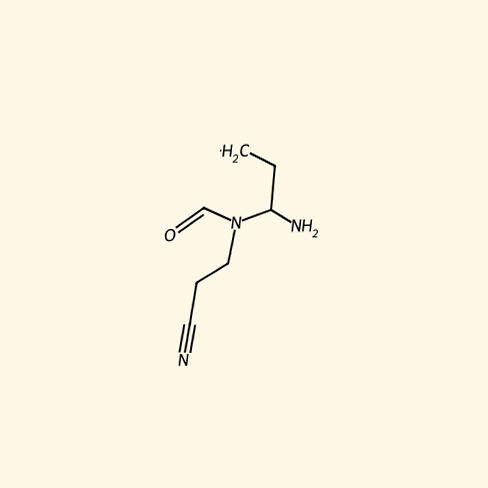 [CH2]CC(N)N(C=O)CCC#N